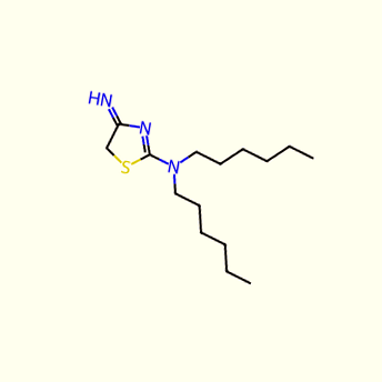 CCCCCCN(CCCCCC)C1=NC(=N)CS1